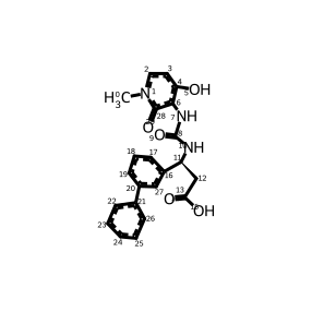 Cn1ccc(O)c(NC(=O)N[C@@H](CC(=O)O)c2cccc(-c3ccccc3)c2)c1=O